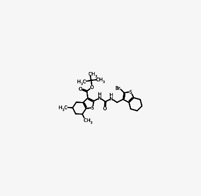 CC1Cc2c(sc(NC(=O)NCc3c(Br)sc4c3CCCC4)c2C(=O)OC(C)(C)C)C(C)C1